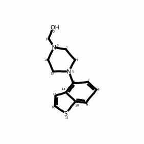 OCN1CCN(c2cccc3sccc23)CC1